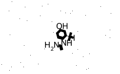 C=C(N)NC1=CC[C@H](O)C[C@@H]1C(C)(C)I